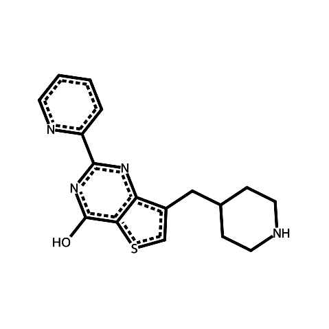 Oc1nc(-c2ccccn2)nc2c(CC3CCNCC3)csc12